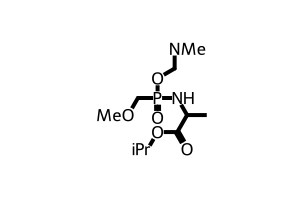 CNCOP(=O)(COC)NC(C)C(=O)OC(C)C